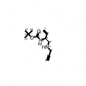 C#CCNC[C@H](C=C)NC(=O)OC(C)(C)C